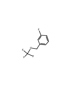 Fc1cccc([CH]OC(F)(F)F)c1